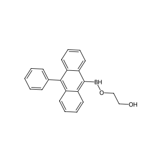 OCCOBc1c2ccccc2c(-c2ccccc2)c2ccccc12